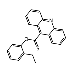 CCc1ccccc1OC(=S)c1c2ccccc2nc2ccccc12